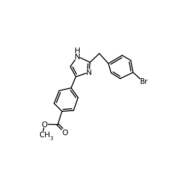 COC(=O)c1ccc(-c2c[nH]c(Cc3ccc(Br)cc3)n2)cc1